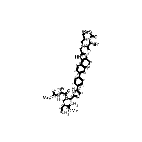 C=CCCN(Cc1nc2c([nH]1)-c1ccc(-c3ccc(-c4cnc(CN(C[C@H](C=C)C(=C)OC)C(=O)[C@@H](NC(=O)OC)C(C)C)[nH]4)cc3)cc1OC2)C(=O)[C@@H](NC(=O)OC)C(C)C